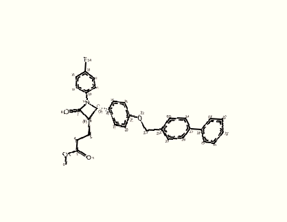 COC(=O)CC[C@H]1C(=O)N(c2ccc(F)cc2)[C@@H]1c1ccc(OCc2ccc(-c3ccccc3)cc2)cc1